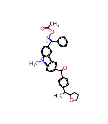 CC(=O)O/N=C(\c1ccccc1)c1ccc2c(c1)c1cc(C(=O)c3ccc(C(C)C4CCCO4)cc3)ccc1n2C